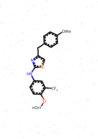 CCCCCCCCOc1ccc(Nc2nc(Cc3ccc(OC)cc3)cs2)cc1C(F)(F)F